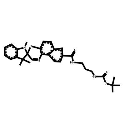 CN1c2ccccc2C(C)(C)C12C=Nc1c(ccc3cc(C(=O)NCCCNC(=O)OC(C)(C)C)ccc13)O2